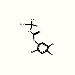 CC(C)(C)NC(=O)Oc1cc(Cl)c(F)cc1N